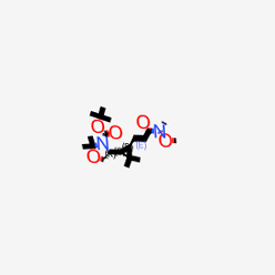 CON(C)C(=O)/C=C/[C@@H]1[C@H]([C@@H]2COC(C)(C)N2C(=O)OC(C)(C)C)C1(C)C